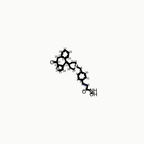 O=C(/C=C/c1ccc(CN2CCC(=C3c4ccccc4CC(=O)c4sccc43)CC2)cc1)NO